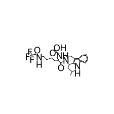 CC(C)CC1c2[nH]c3ccccc3c2CCN1C(=O)C(CCCCNC(=O)C(F)(F)F)NC(=O)O